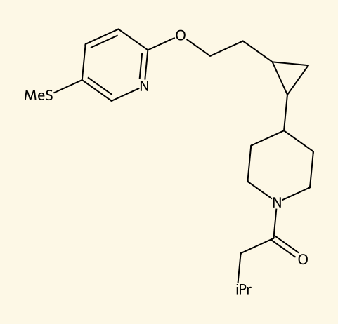 CSc1ccc(OCCC2CC2C2CCN(C(=O)CC(C)C)CC2)nc1